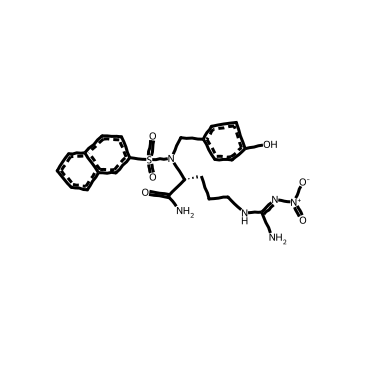 NC(=O)[C@@H](CCCNC(N)=N[N+](=O)[O-])N(Cc1ccc(O)cc1)S(=O)(=O)c1ccc2ccccc2c1